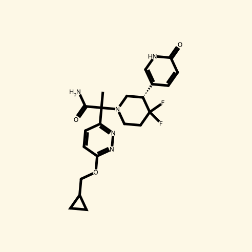 CC(C(N)=O)(c1ccc(OCC2CC2)nn1)N1CCC(F)(F)[C@@H](c2ccc(=O)[nH]c2)C1